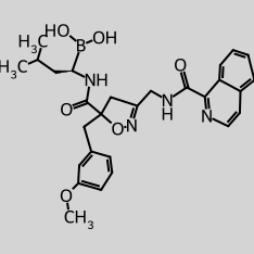 COc1cccc(CC2(C(=O)N[C@@H](CC(C)C)B(O)O)CC(CNC(=O)c3nccc4ccccc34)=NO2)c1